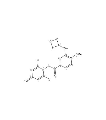 COc1ccc(C(=O)Cn2c(C)cc(=O)cc2C)cc1OC1COC1